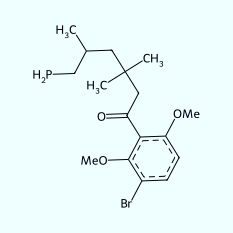 COc1ccc(Br)c(OC)c1C(=O)CC(C)(C)CC(C)CP